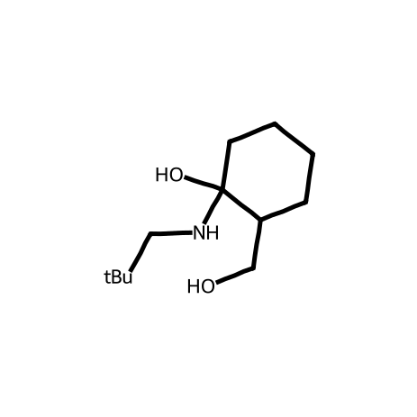 CC(C)(C)CNC1(O)CCCCC1CO